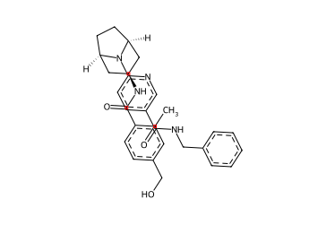 Cc1cc(CO)ccc1C(=O)N[C@H]1C[C@H]2CC[C@@H](C1)N2c1ccc(C(=O)NCc2ccccc2)cn1